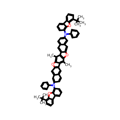 Cc1c2oc3cc4cc(N(c5ccccc5)c5cccc6c5oc5c(C(C)(C)C)cccc56)ccc4cc3c2c(C)c2oc3cc4cc(N(c5ccccc5)c5cccc6c5oc5c(C(C)(C)C)cccc56)ccc4cc3c12